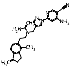 C=C1CCc2c1ccc(CCN(Cc1cnn(-c3cc(N)c(C#N)cn3)c1)C(=C)N)c2C